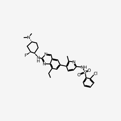 CCc1cc(-c2ccc(NS(=O)(=O)c3ccccc3Cl)nc2C)cc2cnc(N[C@@H]3CC[C@@H](N(C)C)C[C@@H]3F)nc12